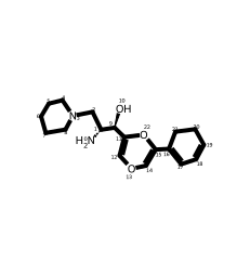 N[C@H](CN1CCCCC1)[C@@H](O)C1=COC=C(C2=CC=CCC2)O1